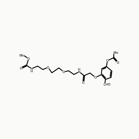 CC(C)(C)OC(=O)NCCOCCOCCNC(=O)COc1cc(OC(=O)C(C)(C)C)ccc1C=O